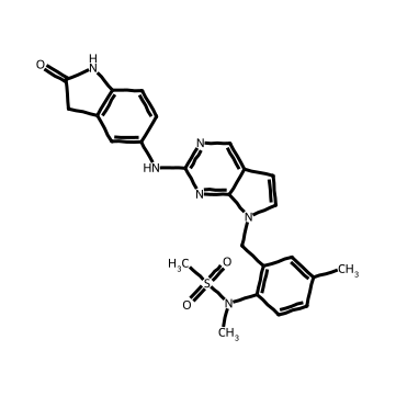 Cc1ccc(N(C)S(C)(=O)=O)c(Cn2ccc3cnc(Nc4ccc5c(c4)CC(=O)N5)nc32)c1